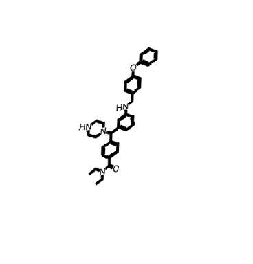 CCN(CC)C(=O)c1ccc(C(c2cccc(NCc3ccc(Oc4ccccc4)cc3)c2)N2CCNCC2)cc1